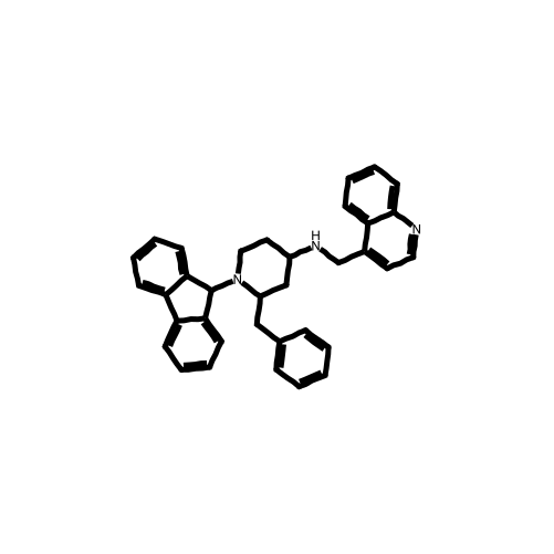 c1ccc(CC2CC(NCc3ccnc4ccccc34)CCN2C2c3ccccc3-c3ccccc32)cc1